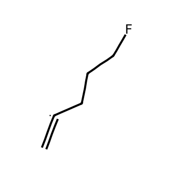 C=[C]CCCF